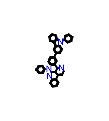 C1=NC2c3cc(-c4ccc5c(c4)c4ccccc4n5-c4ccccc4)ccc3N(c3ccccc3)C3=Nc4ccccc4C(=C1)C32